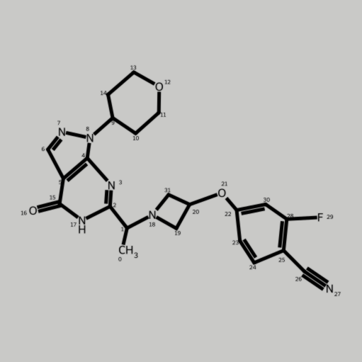 CC(c1nc2c(cnn2C2CCOCC2)c(=O)[nH]1)N1CC(Oc2ccc(C#N)c(F)c2)C1